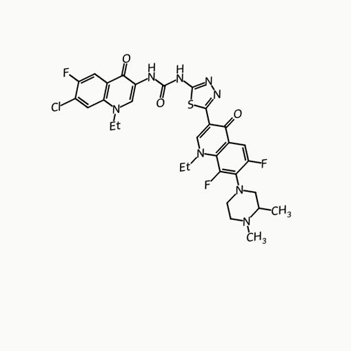 CCn1cc(NC(=O)Nc2nnc(-c3cn(CC)c4c(F)c(N5CCN(C)C(C)C5)c(F)cc4c3=O)s2)c(=O)c2cc(F)c(Cl)cc21